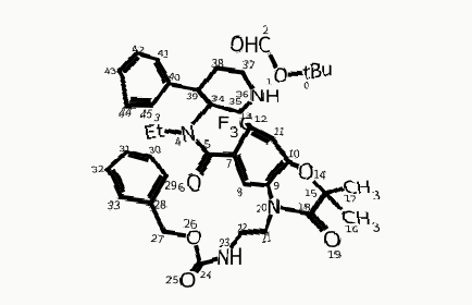 CC(C)(C)OC=O.CCN(C(=O)c1cc2c(cc1C(F)(F)F)OC(C)(C)C(=O)N2CCNC(=O)OCc1ccccc1)C1CNCCC1c1ccccc1